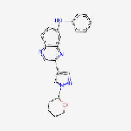 c1ccc(Nc2ccc3ncc(-c4cnn(C5CCCCO5)c4)nc3c2)cc1